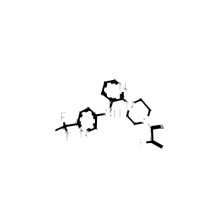 C=C(F)C(=O)N1CCN(c2ncccc2Nc2ccc(C(C)(F)F)nc2)CC1